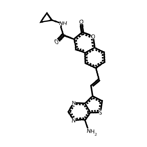 Nc1ncnc2c(C=Cc3ccc4oc(=O)c(C(=O)NC5CC5)cc4c3)csc12